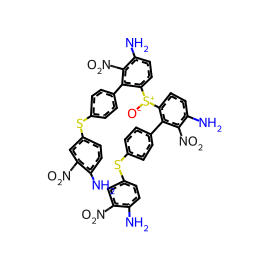 Nc1ccc(Sc2ccc(-c3c([S+]([O-])c4ccc(N)c([N+](=O)[O-])c4-c4ccc(Sc5ccc(N)c([N+](=O)[O-])c5)cc4)ccc(N)c3[N+](=O)[O-])cc2)cc1[N+](=O)[O-]